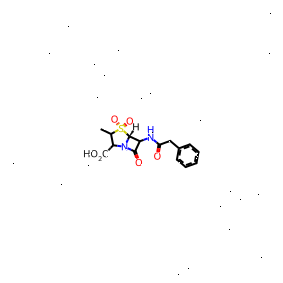 CC1C(C(=O)O)N2C(=O)C(NC(=O)Cc3ccccc3)[C@H]2S1(=O)=O